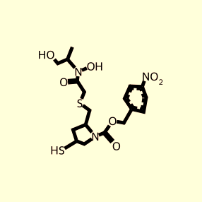 CC(CO)N(O)C(=O)CSCC1CC(S)CN1C(=O)OCc1ccc([N+](=O)[O-])cc1